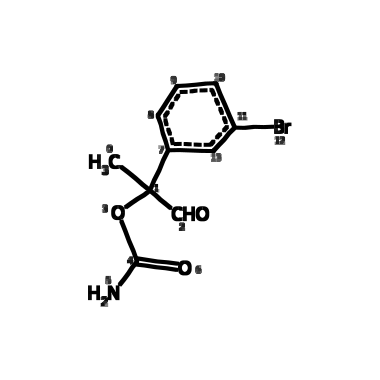 CC(C=O)(OC(N)=O)c1cccc(Br)c1